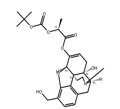 C[C@H](OC(=O)OC(C)(C)C)C(=O)OC1=CC[C@@]2(O)[C@H]3Cc4ccc(CO)c5c4[C@@]2(CCN3C)[C@H]1O5